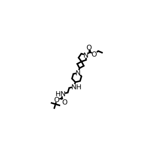 CCOC(=O)N1CCC2(CC(N3CCC(NCCNC(=O)OC(C)(C)C)CC3)C2)C1